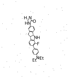 CCN(CC)c1ccc(-c2ccc3c(c2F)NC2c4ccc(NC(N)=O)cc4CC32)cc1